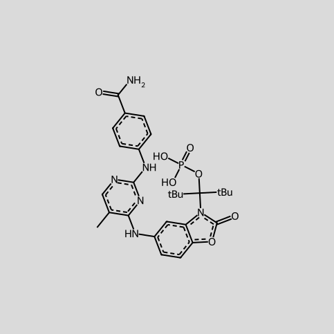 Cc1cnc(Nc2ccc(C(N)=O)cc2)nc1Nc1ccc2oc(=O)n(C(OP(=O)(O)O)(C(C)(C)C)C(C)(C)C)c2c1